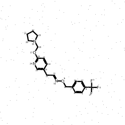 FC(F)(F)c1ccc(CON=CCc2ccc(OCN3CCCC3)nc2)cc1